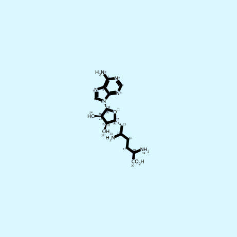 Nc1ncnc2c1ncn2[C@@H]1O[C@H](CC(N)CCC(N)C(=O)O)[C@@H](O)[C@H]1O